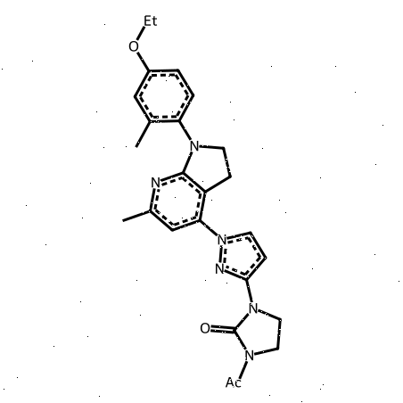 CCOc1ccc(N2CCc3c(-n4ccc(N5CCN(C(C)=O)C5=O)n4)cc(C)nc32)c(C)c1